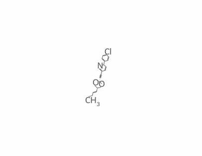 CCCC=C[C@H]1CO[C@H](C#Cc2ccc(-c3ccc(Cl)cc3)nc2)OC1